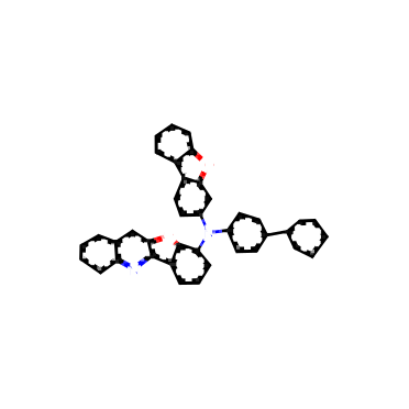 c1ccc(-c2ccc(N(c3ccc4c(c3)oc3ccccc34)c3cccc4c3oc3cc5ccccc5nc34)cc2)cc1